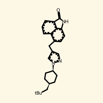 CC(C)(C)C[C@H]1CC[C@@H](n2cc(Cc3ccc4c5c(cccc35)C(=O)N4)cn2)CC1